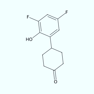 O=C1CCC(c2cc(F)cc(F)c2O)CC1